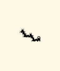 CC(=O)CC/C=C(/C)CC/C=C(/C)CC/C=C(/C)CCCC(C)C